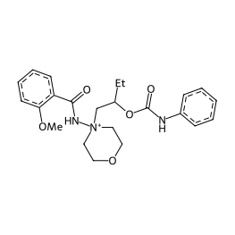 CCC(C[N+]1(NC(=O)c2ccccc2OC)CCOCC1)OC(=O)Nc1ccccc1